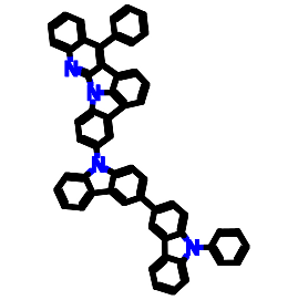 c1ccc(-c2c3ccccc3nc3c2c2cccc4c5cc(-n6c7ccccc7c7cc(-c8ccc9c(c8)c8ccccc8n9-c8ccccc8)ccc76)ccc5n3c42)cc1